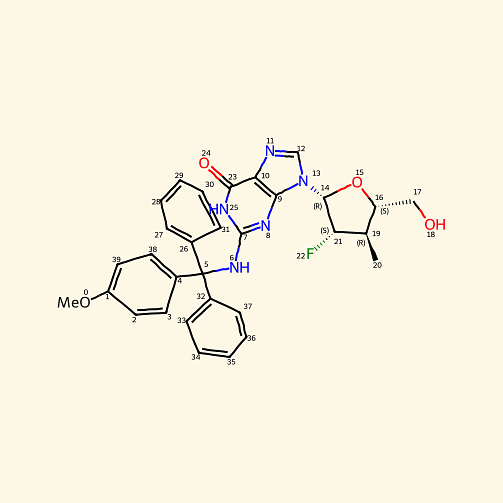 COc1ccc(C(Nc2nc3c(ncn3[C@@H]3O[C@H](CO)[C@@H](C)[C@@H]3F)c(=O)[nH]2)(c2ccccc2)c2ccccc2)cc1